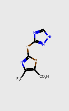 O=C(O)c1sc(Sc2nc[nH]n2)nc1C(F)(F)F